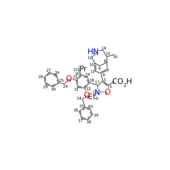 CCN1OC(C(=O)O)=C(C2=CC3CC(=C2)CNCC3C)C1c1cc(C(C)C)c(OCc2ccccc2)cc1OCc1ccccc1